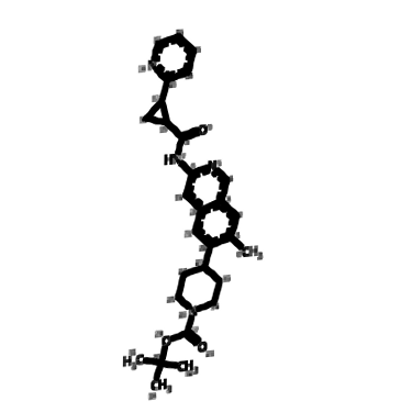 Cc1cc2cnc(NC(=O)C3CC3c3ccccn3)cc2cc1C1CCN(C(=O)OC(C)(C)C)CC1